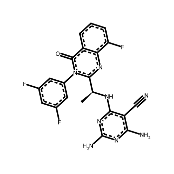 C[C@H](Nc1nc(N)nc(N)c1C#N)c1nc2c(F)cccc2c(=O)n1-c1cc(F)cc(F)c1